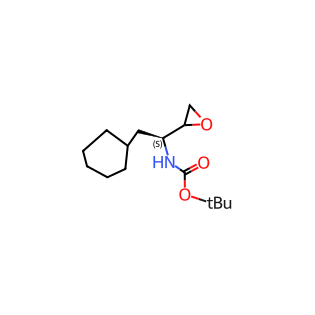 CC(C)(C)OC(=O)N[C@@H](CC1CCCCC1)C1CO1